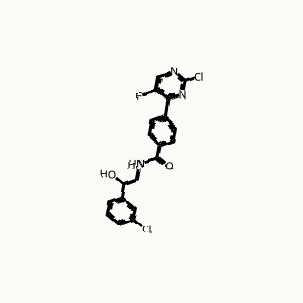 O=C(NCC(O)c1cccc(Cl)c1)c1ccc(-c2nc(Cl)ncc2F)cc1